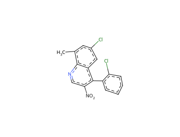 Cc1cc(Cl)cc2c(-c3ccccc3Cl)c([N+](=O)[O-])cnc12